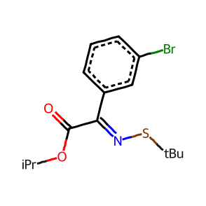 CC(C)OC(=O)/C(=N/SC(C)(C)C)c1cccc(Br)c1